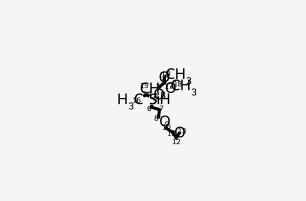 COC(CO[SiH](CCCOCC1CO1)C(C)C)OC